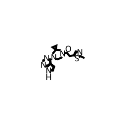 Cc1ncc(CC(=O)N2CCN(c3ncnc4[nH]ccc34)CC3(CC3)C2)s1